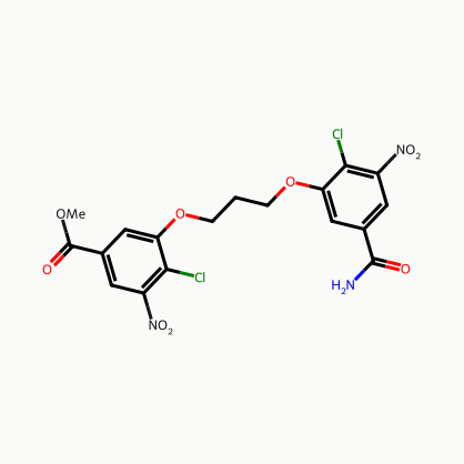 COC(=O)c1cc(OCCCOc2cc(C(N)=O)cc([N+](=O)[O-])c2Cl)c(Cl)c([N+](=O)[O-])c1